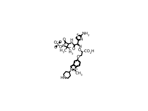 C[n+]1c2ccc(OC[C@H](O/N=C(\C(=O)NC3C(=O)N(OS(=O)(=O)[O-])C3(C)C)c3csc(N)n3)C(=O)O)cc2cn1C1CCNCC1